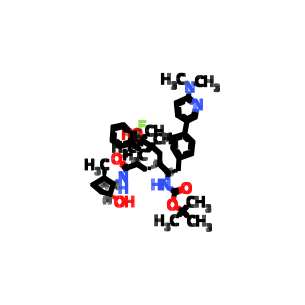 C[C@@H]1CC[C@@H](O)[C@H]1NC(=O)[C@H](Cc1ccccc1F)C[C@H](CC(C)(C)[Si](C)(C)O)[C@H](Cc1ccc(-c2ccc(N(C)C)nc2)cc1)NC(=O)OC(C)(C)C